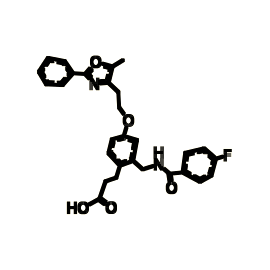 Cc1oc(-c2ccccc2)nc1CCOc1ccc(CCC(=O)O)c(CNC(=O)c2ccc(F)cc2)c1